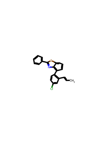 CC=Cc1cc(Cl)ccc1-c1cccc2sc(-c3ccccc3)nc12